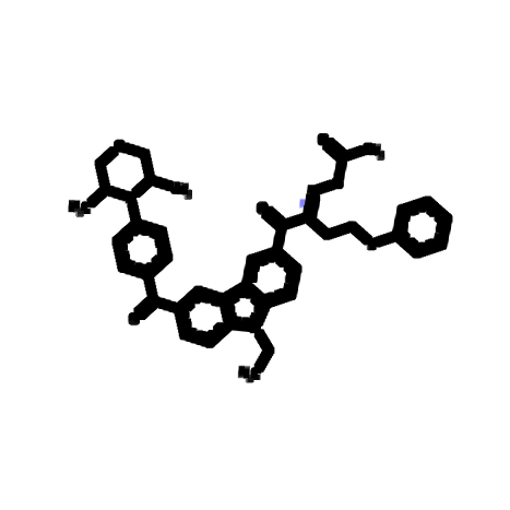 CCn1c2ccc(C(=O)/C(CCSc3ccccc3)=N/OC(C)=O)cc2c2cc(C(=O)c3ccc(N4C(C)COCC4C)cc3)ccc21